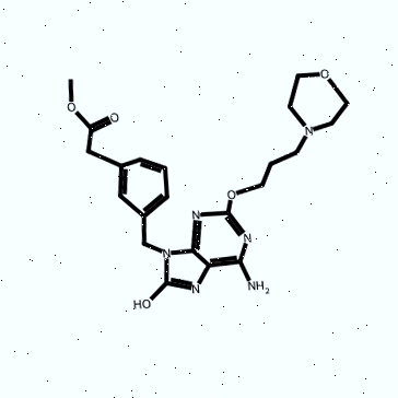 COC(=O)Cc1cccc(Cn2c(O)nc3c(N)nc(OCCCN4CCOCC4)nc32)c1